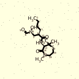 CCCC[C@H](CN(O)C=O)C(=O)N[C@@H]1C(=O)N(C)CCSC1(C)C